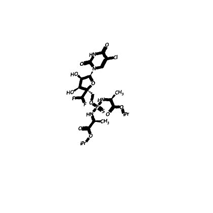 CC(C)OC(=O)[C@H](C)NP(=S)(N[C@@H](C)C(=O)OC(C)C)OC[C@@]1(C(F)F)O[C@@H](n2cc(Cl)c(=O)[nH]c2=O)[C@H](O)[C@@H]1O